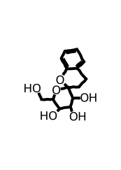 OCC1OC2(CCc3ccccc3O2)C(O)C(O)C1O